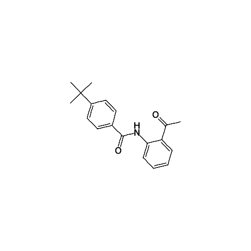 CC(=O)c1ccccc1NC(=O)c1ccc(C(C)(C)C)cc1